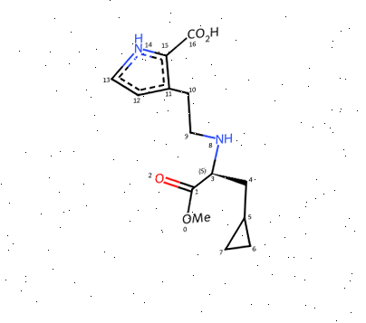 COC(=O)[C@H](CC1CC1)NCCc1cc[nH]c1C(=O)O